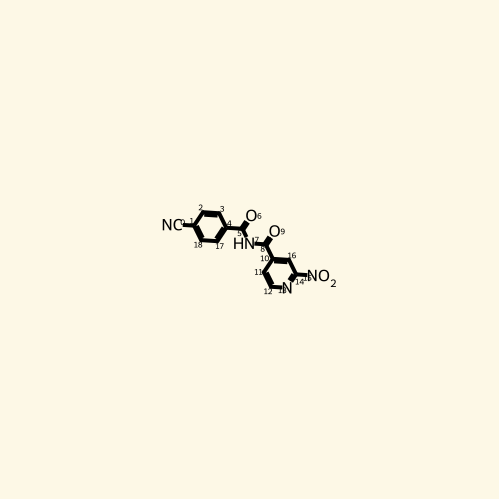 N#Cc1ccc(C(=O)NC(=O)c2ccnc([N+](=O)[O-])c2)cc1